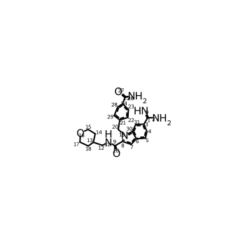 N=C(N)c1ccc2cc(C(=O)NCC3CCOCC3)n(Cc3ccc(C(N)=O)cc3)c2c1